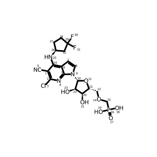 N#Cc1c(Cl)nc2c(ccn2[C@@H]2O[C@H](COCP(=O)(O)O)[C@@H](O)[C@H]2O)c1N[C@H]1CCC(F)(F)C1